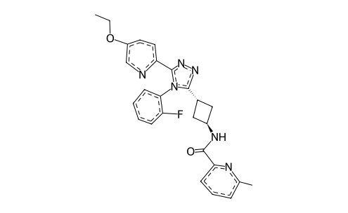 CCOc1ccc(-c2nnc([C@H]3C[C@H](NC(=O)c4cccc(C)n4)C3)n2-c2ccccc2F)nc1